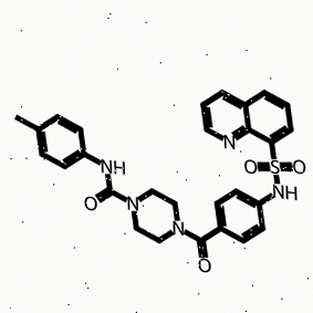 Cc1ccc(NC(=O)N2CCN(C(=O)c3ccc(NS(=O)(=O)c4cccc5cccnc45)cc3)CC2)cc1